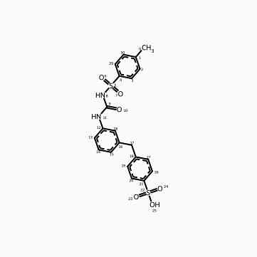 Cc1ccc(S(=O)(=O)NC(=O)Nc2cccc(Cc3ccc(S(=O)(=O)O)cc3)c2)cc1